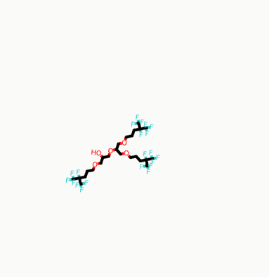 OC(COCCCC(F)(C(F)(F)F)C(F)(F)F)COC(COCCCC(F)(C(F)(F)F)C(F)(F)F)COCCCC(F)(C(F)(F)F)C(F)(F)F